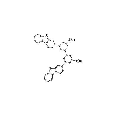 CC(C)(C)c1cc(-c2cc(-c3ccc4c(c3)sc3ccccc34)cc(C(C)(C)C)c2)cc(-c2ccc3c(c2)sc2ccccc23)c1